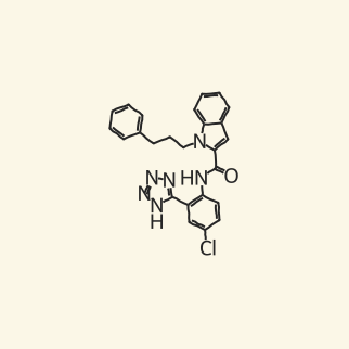 O=C(Nc1ccc(Cl)cc1-c1nnn[nH]1)c1cc2ccccc2n1CCCc1ccccc1